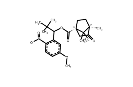 COc1ccc([N+](=O)[O-])c(C(OC(=O)[C@@]23CC[C@@](C)(C(=O)C2)C3(C)C)C(C)(C)C)c1